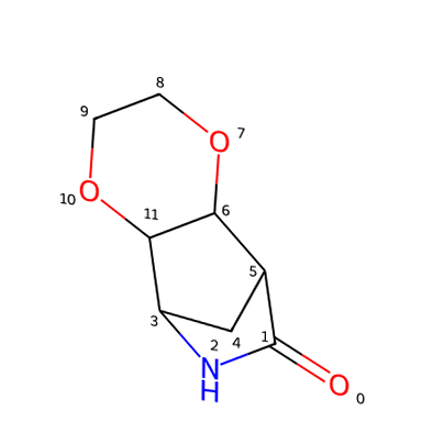 O=C1NC2CC1C1OCCOC21